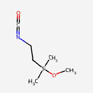 CO[Si](C)(C)CCN=C=O